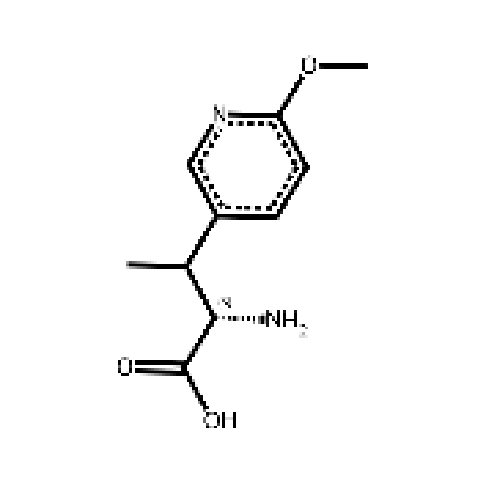 COc1ccc(C(C)[C@H](N)C(=O)O)cn1